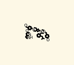 COc1ccc(CN2CCN(C3CC4(CCN(c5ccc(C=O)c(Oc6cnc7[nH]ccc7c6)c5)CC4)C3)C(c3ccccc3CC(C)C)C2)cc1